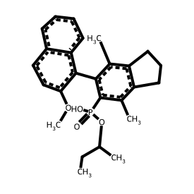 CCC(C)OP(=O)(O)c1c(C)c2c(c(C)c1-c1c(OC)ccc3ccccc13)CCC2